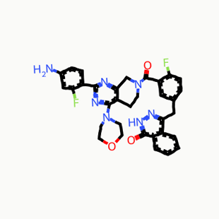 Nc1ccc(-c2nc3c(c(N4CCOCC4)n2)CCN(C(=O)c2cc(Cc4n[nH]c(=O)c5ccccc45)ccc2F)C3)c(F)c1